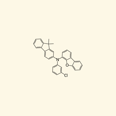 CC1(C)c2ccccc2-c2ccc(N(c3cccc(Cl)c3)c3cccc4c3oc3ccccc34)cc21